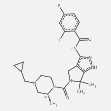 C[C@H]1CN(CC2CC2)CCN1C(=O)N1Cc2c(NC(=O)c3ccc(F)cc3F)n[nH]c2C1(C)C